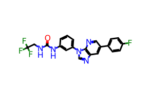 O=C(NCC(F)(F)F)Nc1cccc(-n2cnc3cc(-c4ccc(F)cc4)cnc32)c1